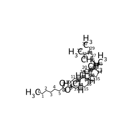 CCCCCCC(=O)O[C@H]1CC[C@@]2(C)[C@@H](CC[C@@H]3[C@@H]2CC[C@]2(C)[C@@H]([C@H](C)CC[C@@H](CC)C(C)C)CC[C@@H]32)C1